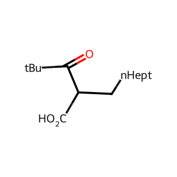 CCCCCCCCC(C(=O)O)C(=O)C(C)(C)C